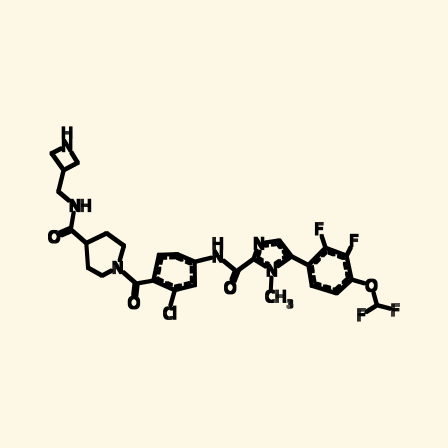 Cn1c(-c2ccc(OC(F)F)c(F)c2F)cnc1C(=O)Nc1ccc(C(=O)N2CCC(C(=O)NCC3CNC3)CC2)c(Cl)c1